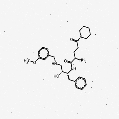 COc1cccc(CNC[C@@H](O)[C@H](Cc2ccccc2)NC(=O)[C@H](N)CCC(=O)N2CCCCC2)c1